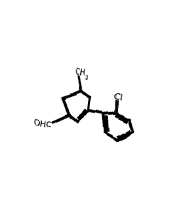 CC1CC(c2ccccc2Cl)=CC(C=O)C1